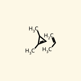 C=CC.CC1=CC1C